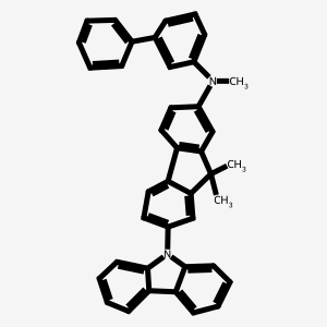 CN(c1cccc(-c2ccccc2)c1)c1ccc2c(c1)C(C)(C)c1cc(-n3c4ccccc4c4ccccc43)ccc1-2